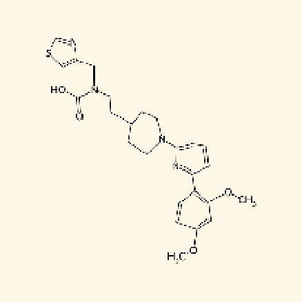 COc1ccc(-c2cccc(N3CCC(CCN(Cc4cscn4)C(=O)O)CC3)n2)c(OC)c1